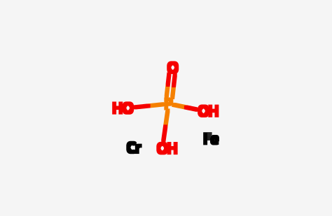 O=P(O)(O)O.[Cr].[Fe]